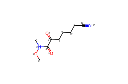 CON(C)C(=O)C(=O)CCCCC#N